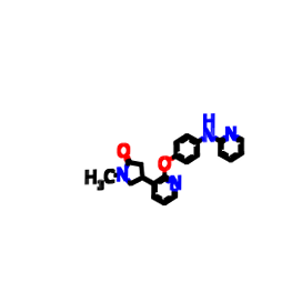 CN1CC(c2cccnc2Oc2ccc(Nc3ccccn3)cc2)CC1=O